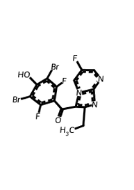 CCc1nc2ncc(F)cn2c1C(=O)c1c(F)c(Br)c(O)c(Br)c1F